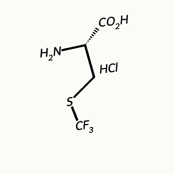 Cl.N[C@@H](CSC(F)(F)F)C(=O)O